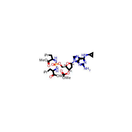 COC(=O)O[C@@H]1C[C@H](n2cnc3c(NC4CC4)nc(N)nc32)O[C@@H]1COP(=O)(NC(CC(C)C)C(=O)OC)NC(CC(C)C)C(=O)OC